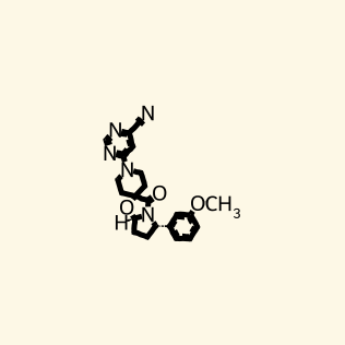 COc1cccc([C@@H]2CC[C@H]3OC4(CCN(c5cc(C#N)ncn5)CC4)C(=O)N32)c1